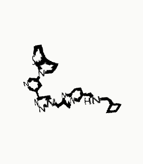 c1cc2ccn(-c3cncc(-c4cn(Cc5cn6cc(CNCC7CCC7)ccc6n5)nn4)c3)c2s1